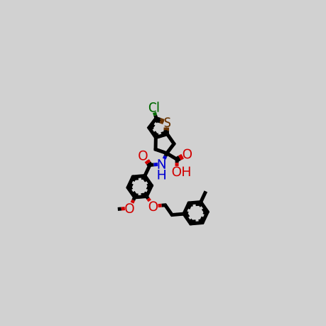 COc1ccc(C(=O)NC2(C(=O)O)Cc3cc(Cl)sc3C2)cc1OCCc1cccc(C)c1